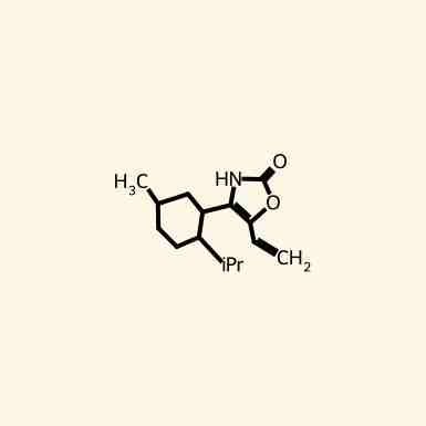 C=Cc1oc(=O)[nH]c1C1CC(C)CCC1C(C)C